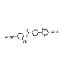 CCCCCCCCc1cnc(-c2ccc(C(=O)Oc3ccc(CCCCCCC)cc3C#N)cc2)nc1